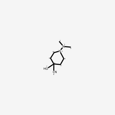 CN(C)N1CCC(O)(C#N)CC1